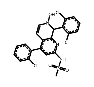 CS(=O)(=O)Nc1cc(-c2ccccc2Cl)c2c(n1)C(c1c(Cl)cccc1Cl)N(O)C=C2